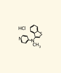 CN(c1ccncc1)c1csc2ccccc12.Cl